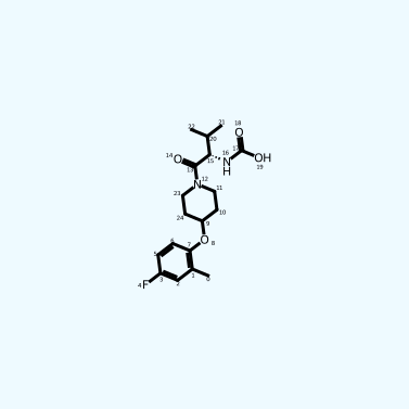 Cc1cc(F)ccc1OC1CCN(C(=O)[C@@H](NC(=O)O)C(C)C)CC1